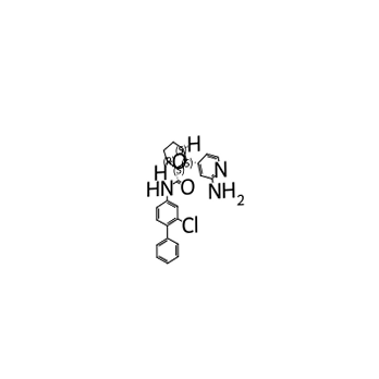 Nc1cc([C@@H]2[C@H](C(=O)Nc3ccc(-c4ccccc4)c(Cl)c3)[C@H]3CC[C@@H]2O3)ccn1